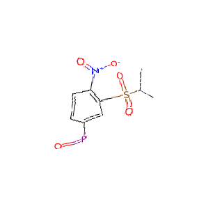 CC(C)S(=O)(=O)c1cc(P=O)ccc1[N+](=O)[O-]